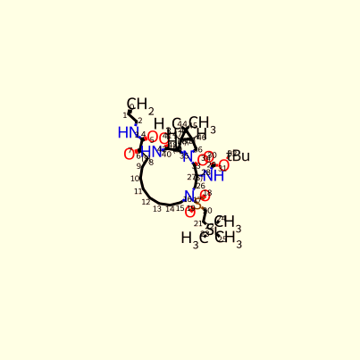 C=CCNC(=O)C(=O)[C@@H]1CCCCCCCN(S(=O)(=O)CC[Si](C)(C)C)C[C@H](NC(=O)OC(C)(C)C)C(=O)N2C[C@H]3[C@@H]([C@H]2C(=O)N1)C3(C)C